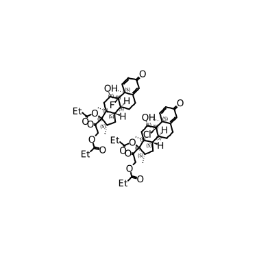 CCC(=O)OCC(=O)[C@@]1(OC(=O)CC)[C@@H](C)C[C@H]2[C@@H]3CCC4=CC(=O)C=C[C@]4(C)[C@@]3(Cl)[C@@H](O)C[C@@]21C.CCC(=O)OCC(=O)[C@@]1(OC(=O)CC)[C@@H](C)C[C@H]2[C@@H]3CCC4=CC(=O)C=C[C@]4(C)[C@@]3(F)[C@@H](O)C[C@@]21C